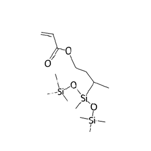 C=CC(=O)OCCC(C)[Si](C)(O[Si](C)(C)C)O[Si](C)(C)C